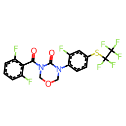 O=C(c1c(F)cccc1F)N1COCN(c2ccc(SC(F)(F)C(F)(F)F)cc2F)C1=O